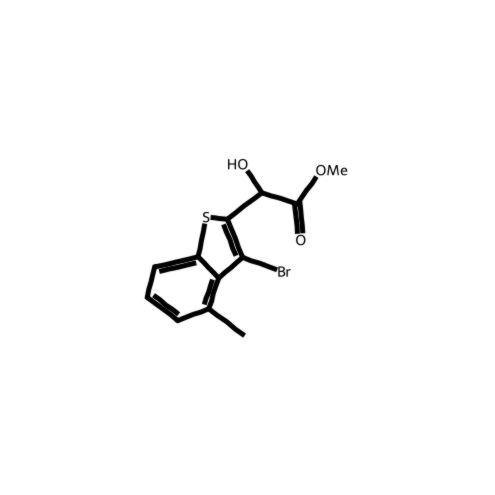 COC(=O)C(O)c1sc2cccc(C)c2c1Br